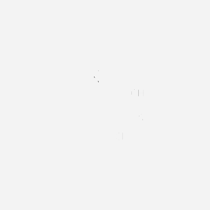 CSCl.c1ccncc1